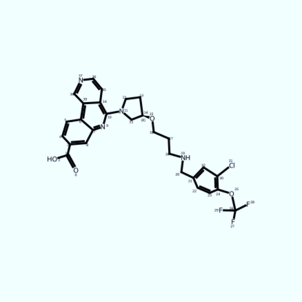 O=C(O)c1ccc2c(c1)nc(N1CC[C@@H](OCCCNCc3ccc(OC(F)(F)F)c(Cl)c3)C1)c1ccncc12